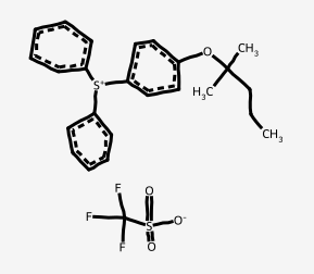 CCCC(C)(C)Oc1ccc([S+](c2ccccc2)c2ccccc2)cc1.O=S(=O)([O-])C(F)(F)F